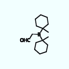 CC1(B(CC=O)C2(C)CCCCC2)CCCCC1